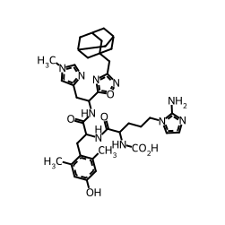 Cc1cc(O)cc(C)c1CC(NC(=O)C(CCCn1ccnc1N)NC(=O)O)C(=O)NC(Cc1cn(C)cn1)c1nc(CC23CC4CC(CC(C4)C2)C3)no1